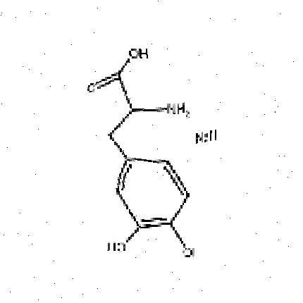 NC(Cc1ccc(O)c(O)c1)C(=O)O.[NaH]